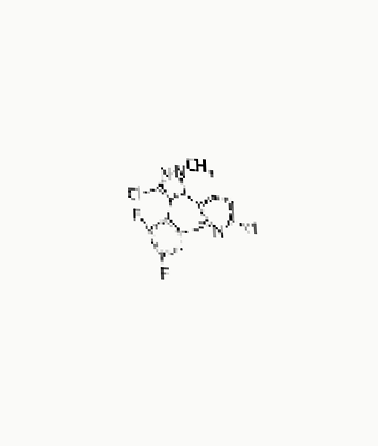 Cn1nc(Cl)c(-c2c(F)cc(F)cc2F)c1-c1ccc(Cl)nc1